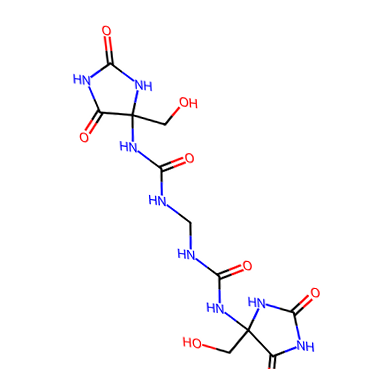 O=C(NCNC(=O)NC1(CO)NC(=O)NC1=O)NC1(CO)NC(=O)NC1=O